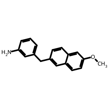 COc1ccc2cc(Cc3cccc(N)c3)ccc2c1